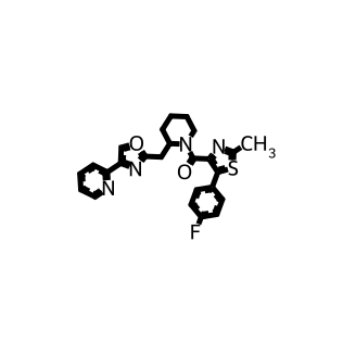 Cc1nc(C(=O)N2CCCCC2Cc2nc(-c3ccccn3)co2)c(-c2ccc(F)cc2)s1